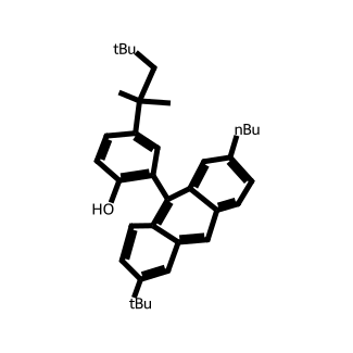 CCCCc1ccc2cc3cc(C(C)(C)C)ccc3c(-c3cc(C(C)(C)CC(C)(C)C)ccc3O)c2c1